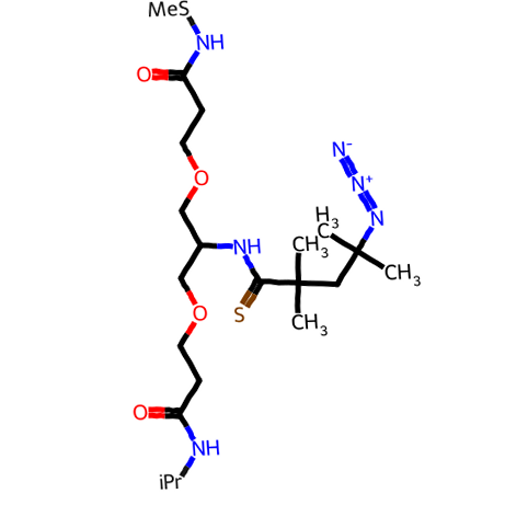 CSNC(=O)CCOCC(COCCC(=O)NC(C)C)NC(=S)C(C)(C)CC(C)(C)N=[N+]=[N-]